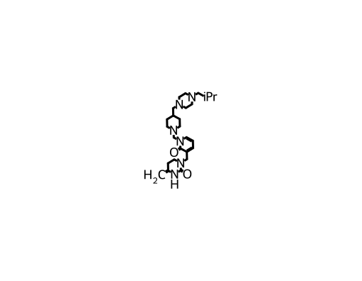 C=C1CCN(Cc2cccn(CN3CCC(CN4CCN(CC(C)C)CC4)CC3)c2=O)C(=O)N1